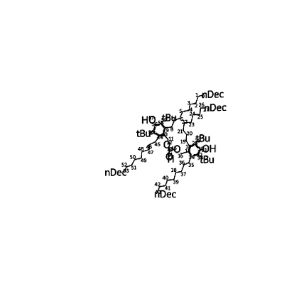 CCCCCCCCCCCCCCCCCCc1c(CO[PH](=O)OCc2c(CCCCCCCCCCCCCCCCCC)c(C(C)(C)C)c(O)c(C(C)(C)C)c2CCCCCCCCCCCCCCCCCC)c(CCCCCCCCCCCCCCCCCC)c(C(C)(C)C)c(O)c1C(C)(C)C